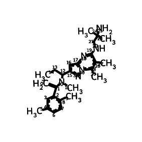 C=C(c1cc(C)ccc1C)N(C)C(CC)c1cc2nc(NCC(C)(C)N)c(C)c(C)n2n1